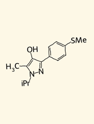 CSc1ccc(-c2nn(C(C)C)c(C)c2O)cc1